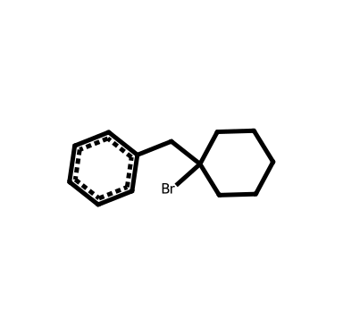 BrC1(Cc2ccccc2)CCCCC1